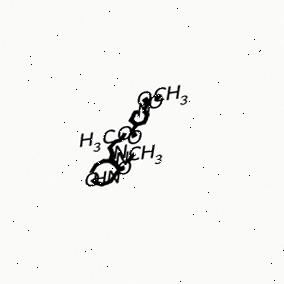 CCn1nc(C[C@@H](C)COC(=O)C2CCN(C(=O)OC)CC2)c2c1C(=O)NCCCOCCC2